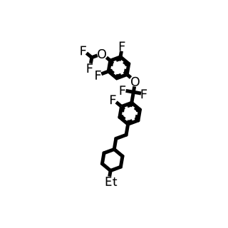 CCC1CCC(CCc2ccc(C(F)(F)Oc3cc(F)c(OC(F)F)c(F)c3)c(F)c2)CC1